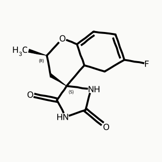 C[C@@H]1C[C@]2(NC(=O)NC2=O)C2CC(F)=CC=C2O1